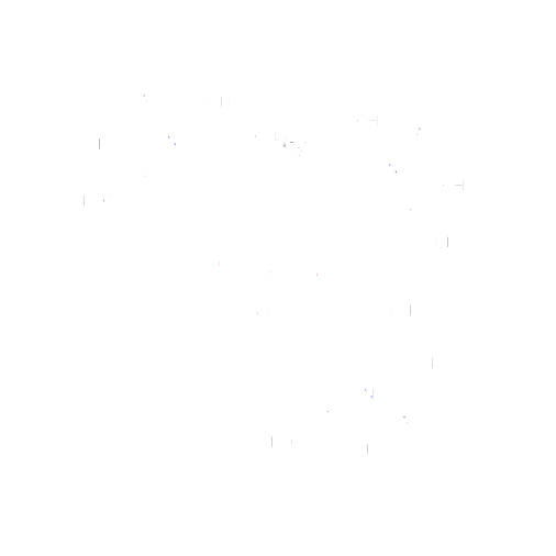 CC(=O)N1C(C)(C)CC(O[Si](OC2CC(C)(C)N(C(C)=O)C(C)(C)C2)(OC2CC(C)(C)N(C(C)=O)C(C)(C)C2)c2ccccc2)CC1(C)C